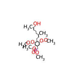 CCOP(=O)(Cc1cc(OCOC)c(CC=C(C)CCC=C(C)CO)c(OCOC)c1)OCC